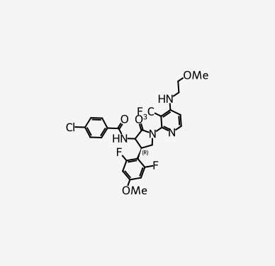 COCCNc1ccnc(N2C[C@@H](c3c(F)cc(OC)cc3F)C(NC(=O)c3ccc(Cl)cc3)C2=O)c1C(F)(F)F